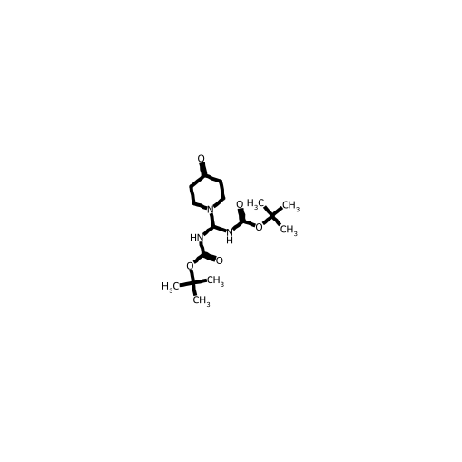 CC(C)(C)OC(=O)NC(NC(=O)OC(C)(C)C)N1CCC(=O)CC1